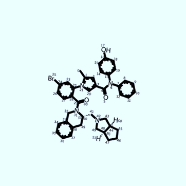 Cc1cc(C(=O)N(c2ccccc2)c2ccc(O)cc2)cn1-c1cc(Br)ccc1C(=O)N1Cc2ccccc2C[C@H]1CN1C[C@H]2CCC[C@H]2C1